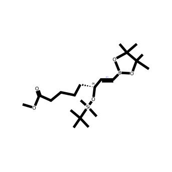 COC(=O)CCCC[C@H](/C=C/B1OC(C)(C)C(C)(C)O1)O[Si](C)(C)C(C)(C)C